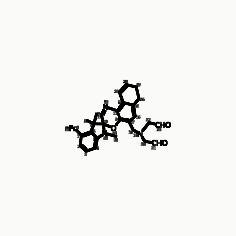 CCCc1cccc2c1C(C)(C)C1(C=Nc3c4c(cc(CN(CC=O)CC=O)c3O1)CCC=C4)N2C